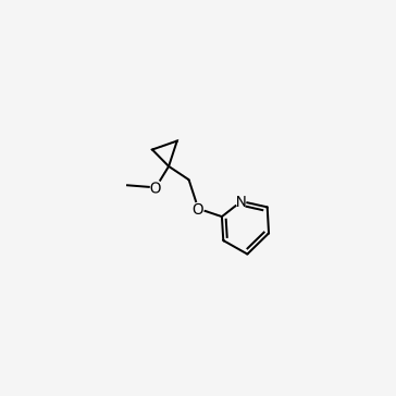 COC1(COc2ccccn2)CC1